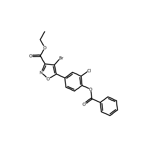 CCOC(=O)c1noc(-c2ccc(OC(=O)c3ccccc3)c(Cl)c2)c1Br